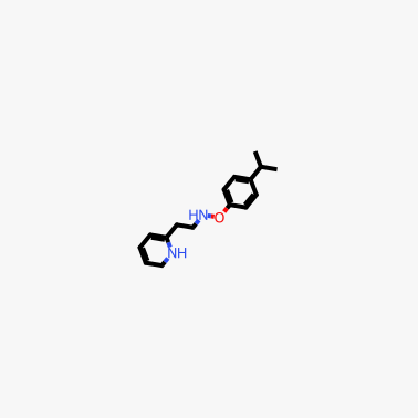 CC(C)c1ccc(ONCCC2=CC=CCN2)cc1